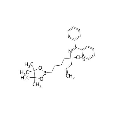 C=CCC(C)(CCCCB1OC(C)(C)C(C)(C)O1)N=C(c1ccccc1)c1ccccc1